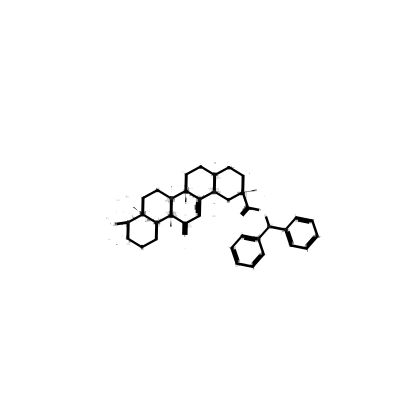 C[C@]1(C(=O)OC(c2ccccc2)c2ccccc2)CC[C@]2(C)CC[C@]3(C)C(=CC(=O)[C@@H]4[C@@]5(C)CC[C@H](O)[C@@](C)(N)[C@@H]5CC[C@]43C)[C@@H]2C1